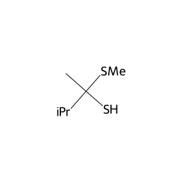 CSC(C)(S)C(C)C